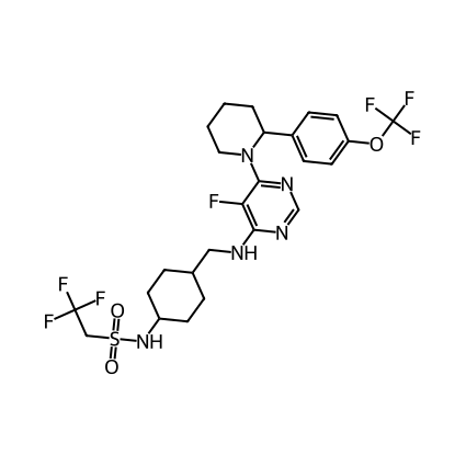 O=S(=O)(CC(F)(F)F)NC1CCC(CNc2ncnc(N3CCCCC3c3ccc(OC(F)(F)F)cc3)c2F)CC1